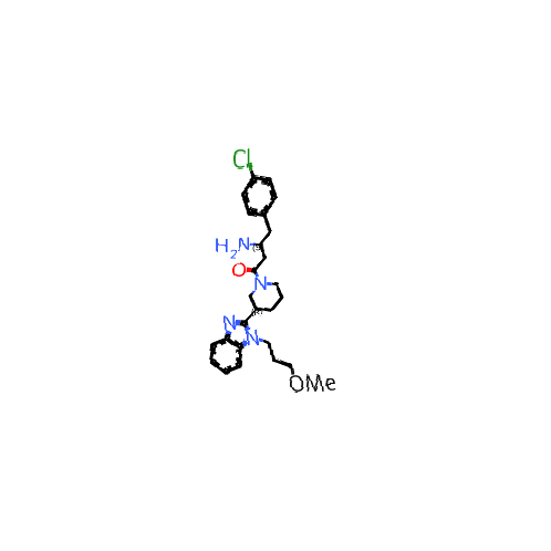 COCCCn1c([C@@H]2CCCN(C(=O)C[C@@H](N)Cc3ccc(Cl)cc3)C2)nc2ccccc21